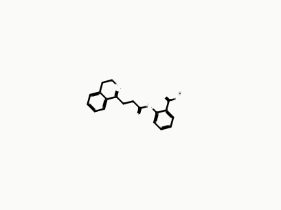 COC(=O)c1ccccc1NC(=O)CCC1=NCCc2ccccc21